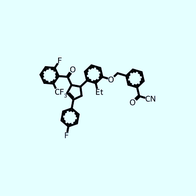 CCc1c(OCc2cccc(C(=O)C#N)c2)cccc1C1CC(c2ccc(F)cc2)=CC1C(=O)c1c(F)cccc1C(F)(F)F